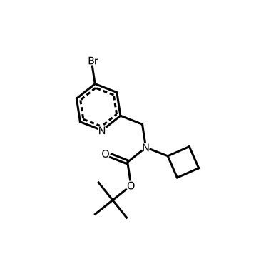 CC(C)(C)OC(=O)N(Cc1cc(Br)ccn1)C1CCC1